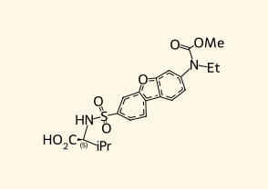 CCN(C(=O)OC)c1ccc2c(c1)oc1cc(S(=O)(=O)N[C@H](C(=O)O)C(C)C)ccc12